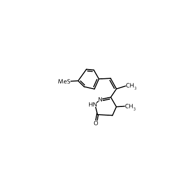 CSc1ccc(C=C(C)C2=NNC(=O)CC2C)cc1